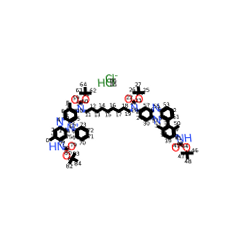 Cc1cc2nc3cc(C)c(N(CCCCCCCCCN(C(=O)OC(C)(C)C)c4ccc5nc6c(-c7c(C)ccc(NC(=O)OC(C)(C)C)c7C)cccc6nc5c4)C(=O)OC(C)(C)C)cc3[n+](-c3ccccc3)c2cc1NC(=O)OC(C)(C)C.Cl.[Cl-]